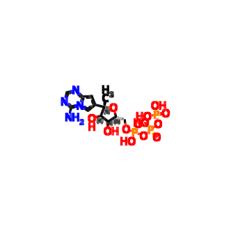 C[C@@]1(c2cc3ncnc(N)n3c2)O[C@H](COP(=O)(O)OP(=O)(O)OP(=O)(O)O)[C@@H](O)[C@H]1O